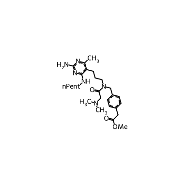 CCCCCNc1nc(N)nc(C)c1CCCN(Cc1ccc(CC(=O)OC)cc1)C(=O)CN(C)C